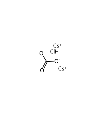 Cl.O=C([O-])[O-].[Cs+].[Cs+]